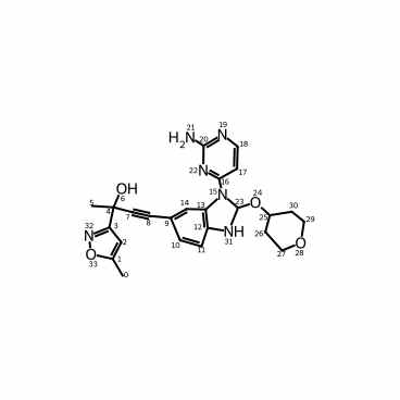 Cc1cc(C(C)(O)C#Cc2ccc3c(c2)N(c2ccnc(N)n2)C(OC2CCOCC2)N3)no1